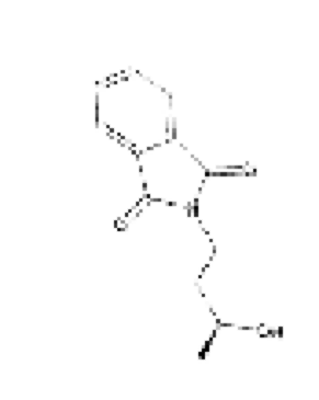 C[C@H](O)CCN1C(=O)c2ccccc2C1=O